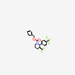 O=C(OCc1ccccc1)N1CCCC(=C(F)F)C1c1ccc(C(F)(F)F)cc1